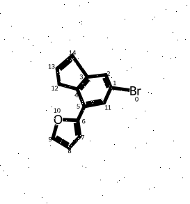 Brc1cc2c(c(-c3ccco3)c1)CC=C2